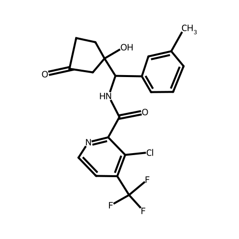 Cc1cccc(C(NC(=O)c2nccc(C(F)(F)F)c2Cl)C2(O)CCC(=O)C2)c1